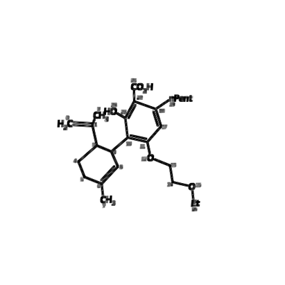 C=C(C)C1CCC(C)=CC1c1c(OCCOCC)cc(CCCCC)c(C(=O)O)c1O